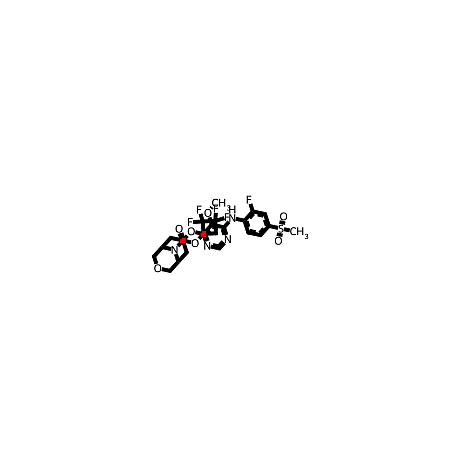 COc1c(Nc2ccc(S(C)(=O)=O)cc2F)ncnc1OC1CC2COCC(C1)N2C(=O)OC1CC(F)(F)C1(F)F